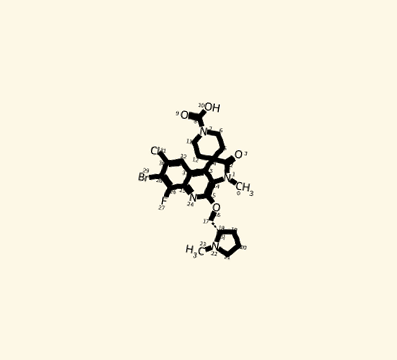 CN1C(=O)C2(CCN(C(=O)O)CC2)c2c1c(OC[C@@H]1CCCN1C)nc1c(F)c(Br)c(Cl)cc21